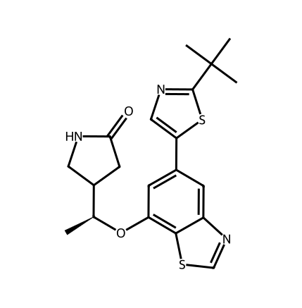 C[C@H](Oc1cc(-c2cnc(C(C)(C)C)s2)cc2ncsc12)C1CNC(=O)C1